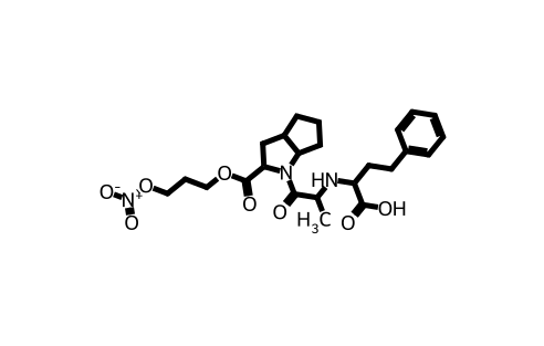 CC(NC(CCc1ccccc1)C(=O)O)C(=O)N1C(C(=O)OCCCO[N+](=O)[O-])CC2CCCC21